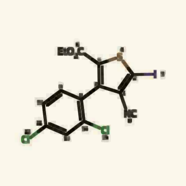 [C-]#[N+]c1c(I)sc(C(=O)OCC)c1-c1ccc(Cl)cc1Cl